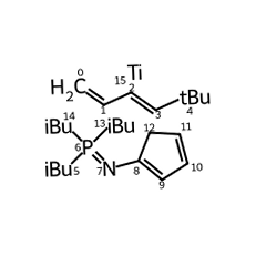 C=CC=CC(C)(C)C.CCC(C)P(=NC1=CC=CC1)(C(C)CC)C(C)CC.[Ti]